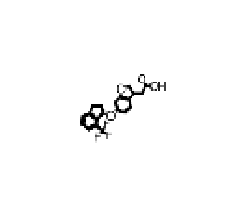 O=C(O)CC1COc2cc(O[C@@H]3CCc4cccc(C(F)(F)F)c43)ccc21